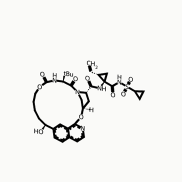 C=C[C@@H]1C[C@]1(NC(=O)[C@@H]1C[C@@H]2CN1C(=O)[C@H](C(C)(C)C)NC(=O)OCCCC[C@H](O)c1ccc3ccnc(c3c1)O2)C(=O)NS(=O)(=O)C1CC1